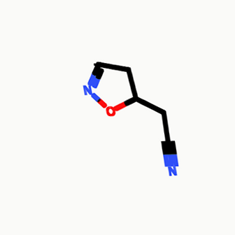 N#CCC1C[C]=NO1